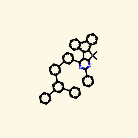 C[Si]1(C)c2nc(-c3ccccc3)nc(-c3cccc(-c4cccc(-c5cc(-c6ccccc6)cc(-c6ccccc6)c5)c4)c3)c2-c2c1c1ccccc1c1ccccc21